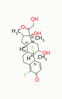 CC1C[C@H]2[C@@H]3CCC4=C(F)C(=O)C=C[C@]4(C)[C@@]3(F)C(O)C[C@]2(C)[C@@]1(O)C(=O)CO